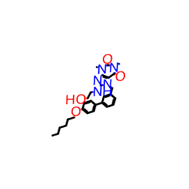 CCCCCCOc1ccc(-c2cccc(Cn3c(NCCO)nc4c3c(=O)n(C)c(=O)n4C)c2)cc1